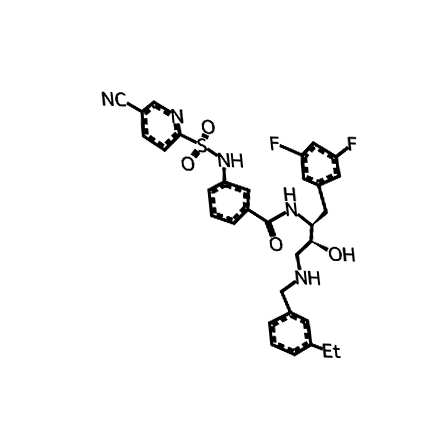 CCc1cccc(CNC[C@H](O)[C@H](Cc2cc(F)cc(F)c2)NC(=O)c2cccc(NS(=O)(=O)c3ccc(C#N)cn3)c2)c1